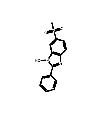 CS(=O)(=O)c1ccc2nc(-c3ccccc3)n(O)c2c1